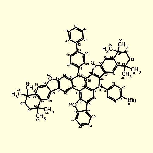 CC(C)(C)c1ccc(N2c3cc4c(oc5ccccc54)c4c3B(c3oc5cc6c(cc5c32)C(C)(C)CCC6(C)C)N(c2ccc(-c3ccccc3)cc2)c2cc3oc5cc6c(cc5c3cc2-4)C(C)(C)CCC6(C)C)cc1